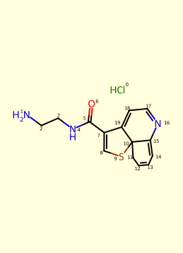 Cl.NCCNC(=O)C1=CSC23CC=CC=C2N=CC=C13